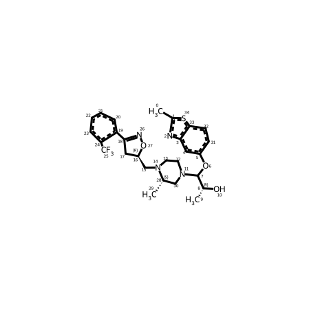 Cc1nc2cc(OC([C@@H](C)O)N3CCN(C[C@H]4CC(c5ccccc5C(F)(F)F)=NO4)[C@@H](C)C3)ccc2s1